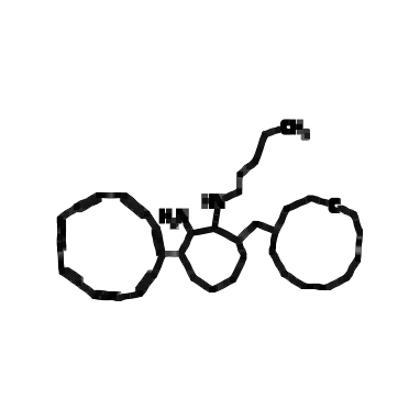 CCCCCNC1C(CC2CCCCCCCCCCC2)CCCCC(c2ccccccccccccc2)C1N